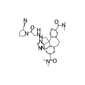 CN(C)C(=O)c1ccc2c(c1)CCc1cc(C(=O)N(C)C)ccc1C2(CCNCC(=O)N1CCC[C@H]1C#N)c1nnc[nH]1